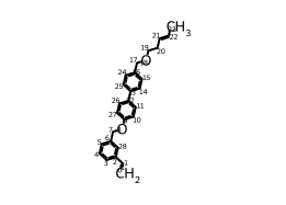 C=Cc1cccc(COc2ccc(-c3ccc(COCCC=CC)cc3)cc2)c1